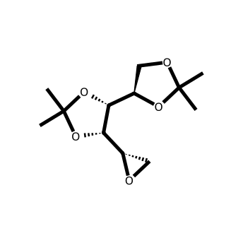 CC1(C)O[C@@H]([C@@H]2CO2)[C@@H]([C@H]2COC(C)(C)O2)O1